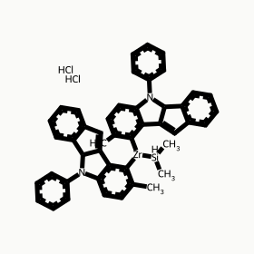 Cc1ccc2c([c]1[Zr]([c]1c(C)ccc3c1C1=Cc4ccccc4C1N3c1ccccc1)[SiH](C)C)C1=Cc3ccccc3C1N2c1ccccc1.Cl.Cl